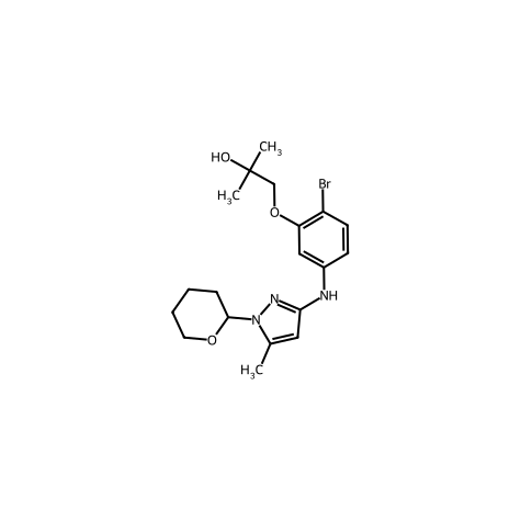 Cc1cc(Nc2ccc(Br)c(OCC(C)(C)O)c2)nn1C1CCCCO1